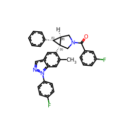 Cc1cc2c(cnn2-c2ccc(F)cc2)cc1[C@@]12CN(C(=O)c3cccc(F)c3)C[C@@H]1[C@H]2c1ccccc1